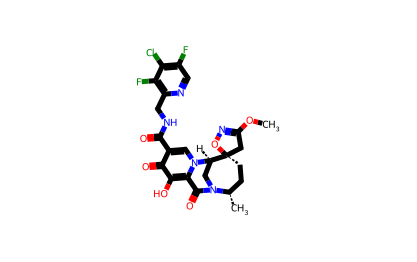 COC1=NO[C@@]2(CC[C@H](C)N3C[C@H]2n2cc(C(=O)NCc4ncc(F)c(Cl)c4F)c(=O)c(O)c2C3=O)C1